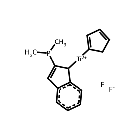 CP(C)C1=Cc2ccccc2[CH]1[Ti+2][C]1=CC=CC1.[F-].[F-]